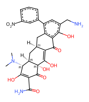 CN(C)[C@H]1C(O)=C(C(N)=O)C(=O)[C@]2(O)C(O)=C3C(=O)c4c(O)c(CN)cc(-c5cccc([N+](=O)[O-])c5)c4C[C@@H]3C[C@H]12